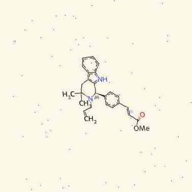 C=CCN1[C@H](c2ccc(/C=C/C(=O)OC)cc2)c2[nH]c3ccccc3c2CC1(C)C